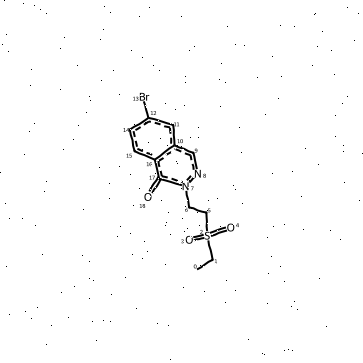 CCS(=O)(=O)CCn1ncc2cc(Br)ccc2c1=O